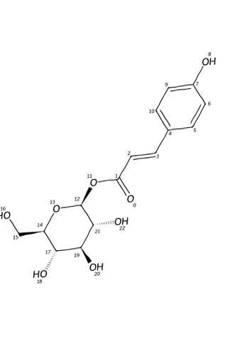 O=C(C=Cc1ccc(O)cc1)O[C@@H]1O[C@H](CO)[C@@H](O)[C@H](O)[C@H]1O